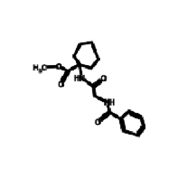 COC(=O)C1(NC(=O)CNC(=O)c2ccccc2)CCCCC1